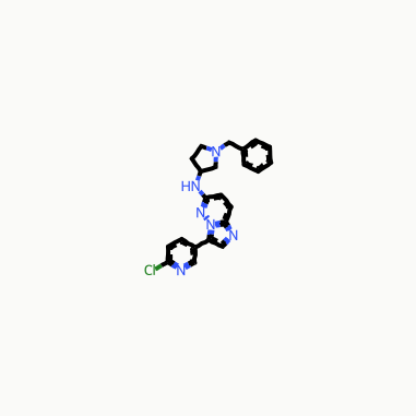 Clc1ccc(-c2cnc3ccc(NC4CCN(Cc5ccccc5)C4)nn23)cn1